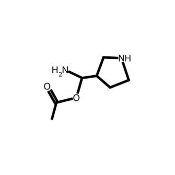 CC(=O)OC(N)C1CCNC1